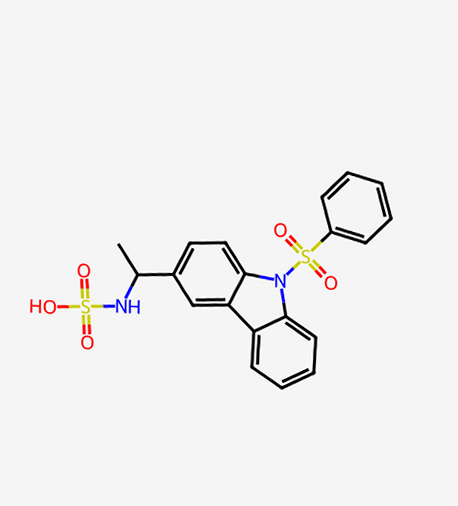 CC(NS(=O)(=O)O)c1ccc2c(c1)c1ccccc1n2S(=O)(=O)c1ccccc1